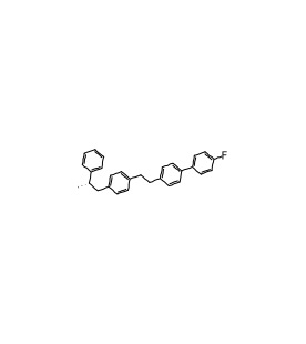 C[C@@H](Cc1ccc(CCc2ccc(-c3ccc(F)cc3)cc2)cc1)c1ccccc1